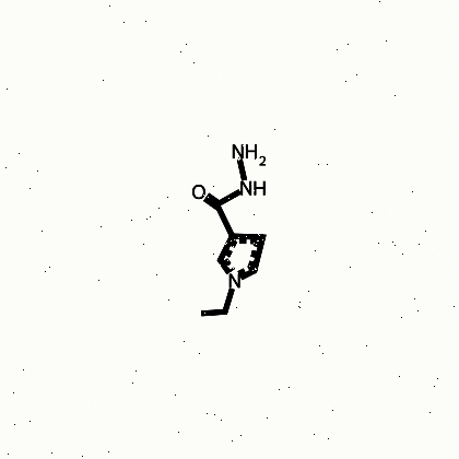 CCn1ccc(C(=O)NN)c1